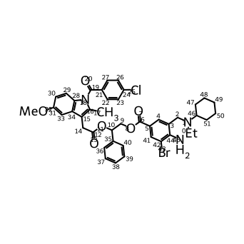 CCN(Cc1cc(C(=O)OCC(OC(=O)Cc2c(C)n(C(=O)c3ccc(Cl)cc3)c3ccc(OC)cc23)c2ccccc2)cc(Br)c1N)C1CCCCC1